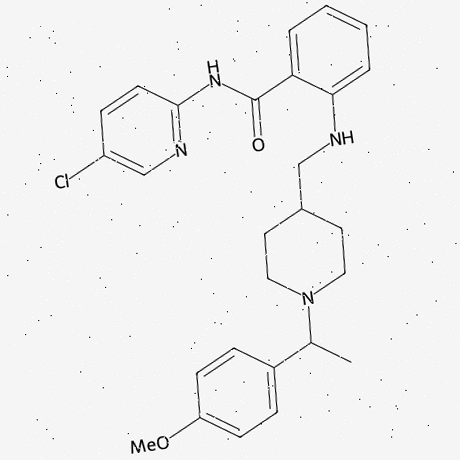 COc1ccc(C(C)N2CCC(CNc3ccccc3C(=O)Nc3ccc(Cl)cn3)CC2)cc1